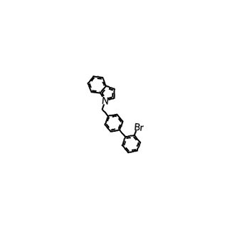 Brc1ccccc1-c1ccc(Cn2ccc3ccccc32)cc1